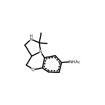 CC(=O)Nc1ccc2c(c1)N1C(CNC1(C)C)CO2